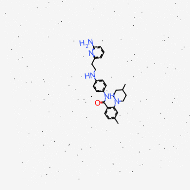 Cc1ccc(C(=O)Nc2ccc(NCCc3cccc(N)n3)cc2)c(N2CCC(C)CC2)c1